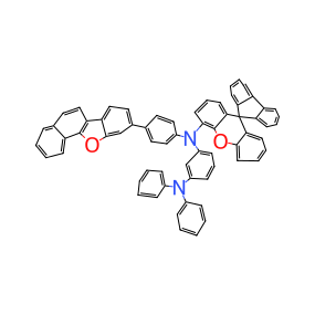 c1ccc(N(c2ccccc2)c2cccc(N(c3ccc(-c4ccc5c(c4)oc4c6ccccc6ccc54)cc3)c3cccc4c3Oc3ccccc3C43c4ccccc4-c4ccccc43)c2)cc1